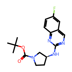 CC(C)(C)OC(=O)N1CC[C@H](Nc2ncc3cc(F)ccc3n2)C1